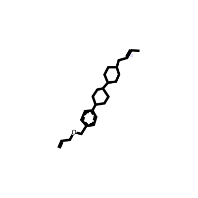 C=CCOCc1ccc(C2CCC(C3CCC(C/C=C/C)CC3)CC2)cc1